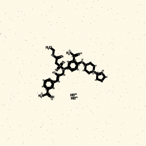 CCOC(=O)CS(=O)(=O)N(C/C(F)=C/c1cccc(C(=N)N)c1)c1ccc(OC2CCN(C3=NCCC3)CC2)c(C(N)=O)c1.Cl.Cl